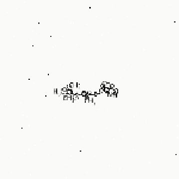 COc1cc(C2=NOC(c3cc(OC)c(OC)c(OC)c3)C2)ccc1OCC1CC(COc2cc3c(cc2OC)C(=O)N2CCC[C@H]2C=N3)C1